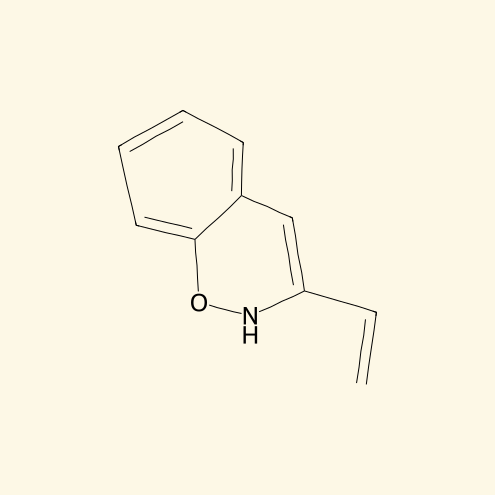 C=CC1=Cc2ccccc2ON1